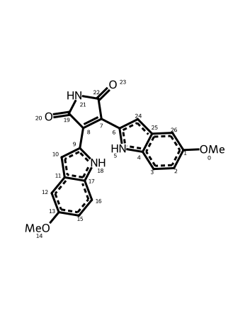 COc1ccc2[nH]c(C3=C(c4cc5cc(OC)ccc5[nH]4)C(=O)NC3=O)cc2c1